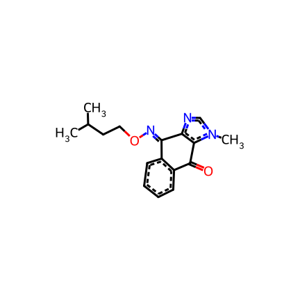 CC(C)CCO/N=C1\c2ccccc2C(=O)c2c1ncn2C